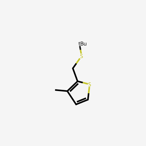 Cc1ccsc1CSC(C)(C)C